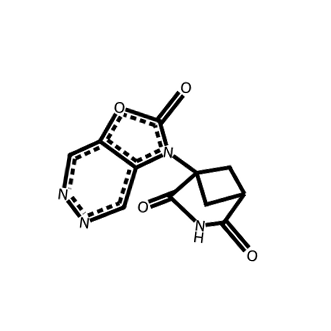 O=C1NC(=O)C2(n3c(=O)oc4cnncc43)CC1C2